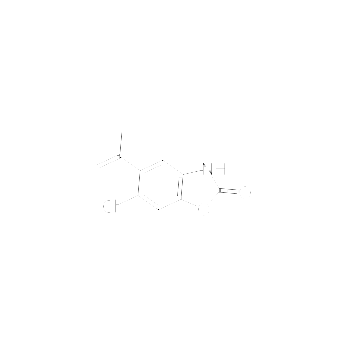 C=C(C)c1cc2[nH]c(=O)oc2cc1Cl